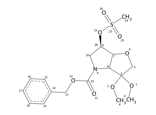 COC1(OC)COC2C1N(C(=O)OCc1ccccc1)C[C@H]2OS(C)(=O)=O